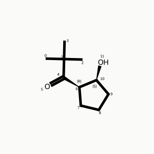 CC(C)(C)C(=O)[C@@H]1CCC[C@@H]1O